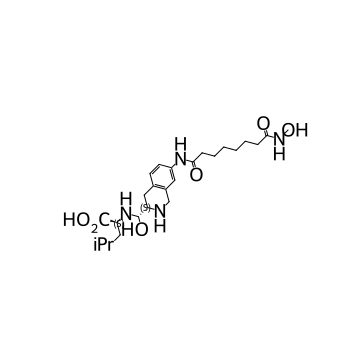 CC(C)C[C@H](NC(O)[C@@H]1Cc2ccc(NC(=O)CCCCCCC(=O)NO)cc2CN1)C(=O)O